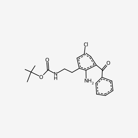 CC(C)(C)OC(=O)NCCc1cc(Cl)cc(C(=O)c2ccccc2)c1N